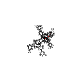 Cc1cccc(-c2ccc3c(c2)c2cc(-c4cccc(C)c4)ccc2n3-c2cc(-c3nc(-c4ccccc4)nc(-c4ccccc4)n3)c(-n3c4ccc(-c5cccc(C)c5)cc4c4cc(-c5cccc(C)c5)ccc43)cc2C#N)c1